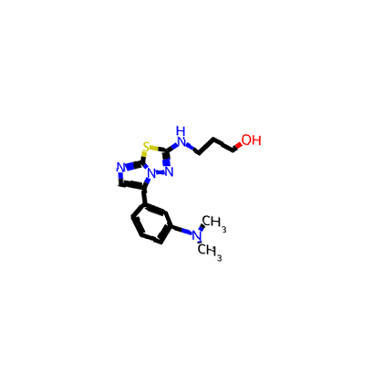 CN(C)c1cccc(-c2cnc3sc(NCCCO)nn23)c1